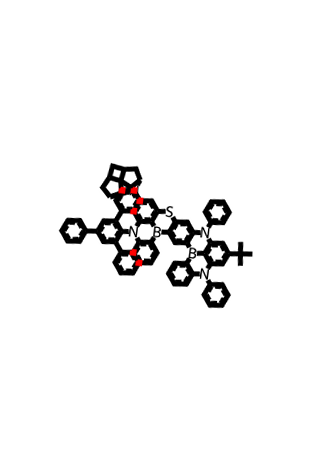 CC(C)(C)c1cc2c3c(c1)N(c1ccccc1)c1cc4c(cc1B3c1ccccc1N2c1ccccc1)B1c2ccccc2N(c2c(-c3ccccc3)cc(-c3ccccc3)cc2-c2ccccc2)c2cc(N3C5CC6CC7CC3CC67C5)cc(c21)S4